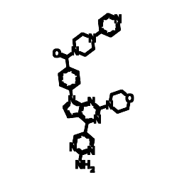 Nc1ncc(-c2nc(N3CCOCC3)nc3c2ccn3-c2ccc(C(=O)N3CCN(c4ccncc4)CC3)cc2)cn1